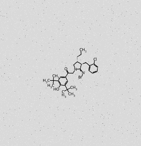 CCC[C@H]1CN(CC(=O)c2cc(C(C)(C)C)c(O)c(C(C)(C)C)c2)/C(=N\Br)[C@@H]1Cc1ccccc1Cl